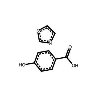 O=C(O)c1ccc(O)cc1.c1cscn1